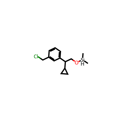 C[SiH](C)OCC(c1cccc(CCl)c1)C1CC1